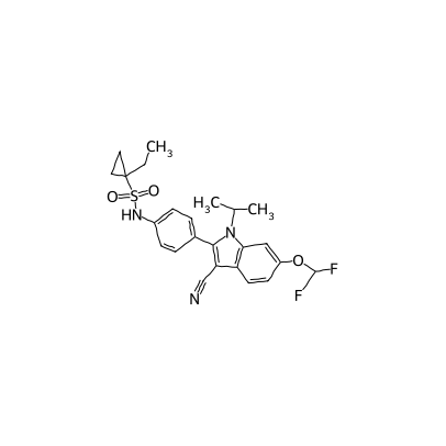 CCC1(S(=O)(=O)Nc2ccc(-c3c(C#N)c4ccc(OC(F)F)cc4n3C(C)C)cc2)CC1